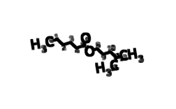 CCCCCC(=O)OCCCC(C)C